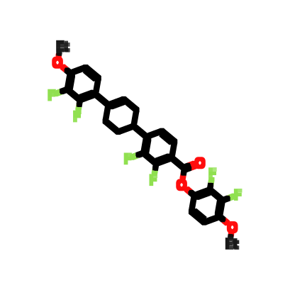 CCOc1ccc(OC(=O)c2ccc(C3CC=C(c4ccc(OCC)c(F)c4F)CC3)c(F)c2F)c(F)c1F